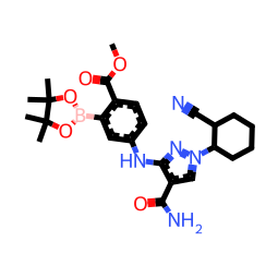 COC(=O)c1ccc(Nc2nn(C3CCCCC3C#N)cc2C(N)=O)cc1B1OC(C)(C)C(C)(C)O1